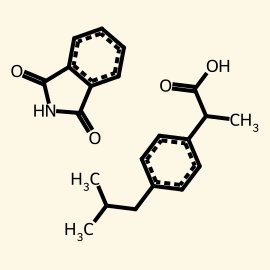 CC(C)Cc1ccc(C(C)C(=O)O)cc1.O=C1NC(=O)c2ccccc21